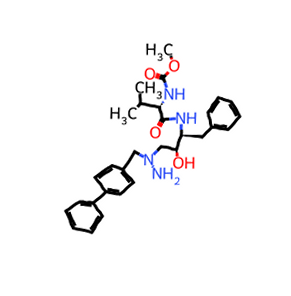 COC(=O)N[C@H](C(=O)N[C@@H](Cc1ccccc1)[C@@H](O)CN(N)Cc1ccc(-c2ccccc2)cc1)C(C)C